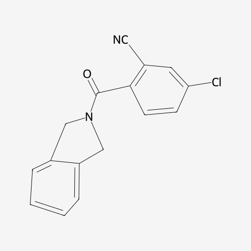 N#Cc1cc(Cl)ccc1C(=O)N1Cc2ccccc2C1